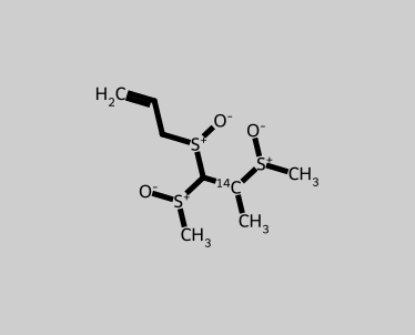 C=CC[S+]([O-])C([14CH](C)[S+](C)[O-])[S+](C)[O-]